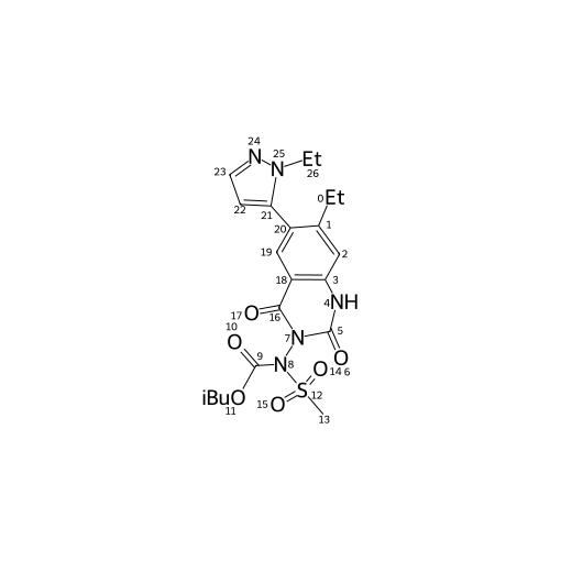 CCc1cc2[nH]c(=O)n(N(C(=O)OCC(C)C)S(C)(=O)=O)c(=O)c2cc1-c1ccnn1CC